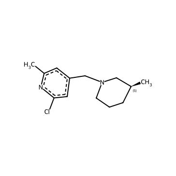 Cc1cc(CN2CCC[C@H](C)C2)cc(Cl)n1